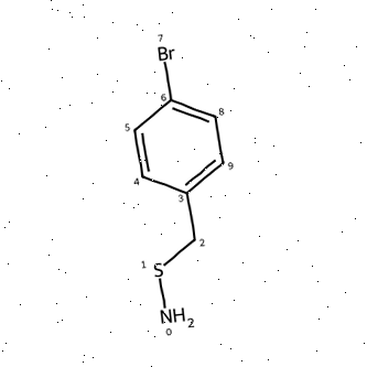 NSCc1ccc(Br)cc1